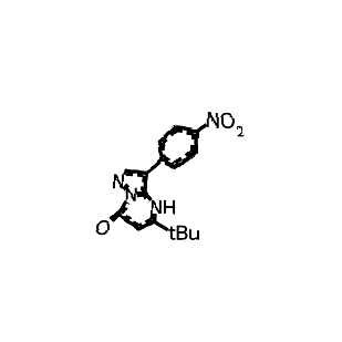 CC(C)(C)c1cc(=O)n2ncc(-c3ccc([N+](=O)[O-])cc3)c2[nH]1